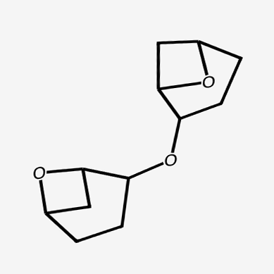 C1CC(OC2CCC3CC2O3)C2CC1O2